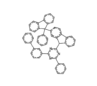 c1ccc(-c2cccc(-c3nc(-c4ccccc4)nc(C4c5ccccc5-c5ccc(C6(c7ccccc7)c7ccccc7-c7ccccc76)cc54)n3)c2)cc1